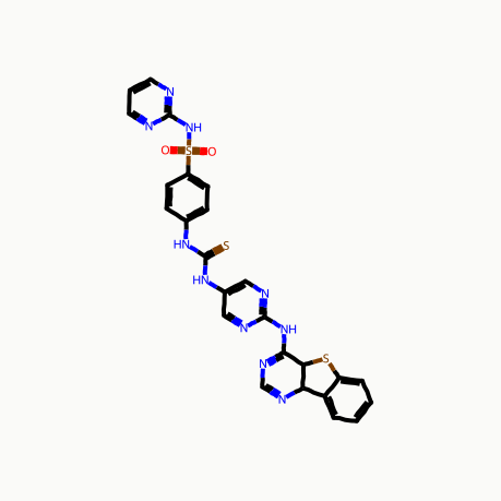 O=S(=O)(Nc1ncccn1)c1ccc(NC(=S)Nc2cnc(NC3=NC=NC4c5ccccc5SC34)nc2)cc1